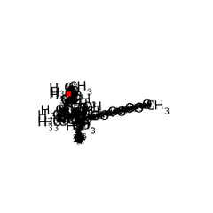 CCC(C)C(C(CC(=O)N1CCCC1C(OC)[C@H](C(=O)NCCc1ccccc1)C(CNC(=O)O)OCCOCCOCCOCCOCCOCCOCCOC)OC)N(C)C(=O)CNC(=O)C(C(C)C)N(C)C(=O)OC(C)(C)C